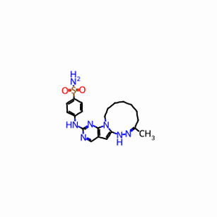 C/C1=N/Nc2cc3cnc(Nc4ccc(S(N)(=O)=O)cc4)nc3n2CCCCCCC1